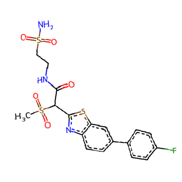 CS(=O)(=O)C(C(=O)NCCS(N)(=O)=O)c1nc2ccc(-c3ccc(F)cc3)cc2s1